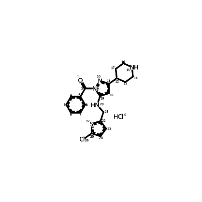 Cl.O=C(c1ccccc1)n1nc(C2CCNCC2)cc1NCc1ccc(Cl)s1